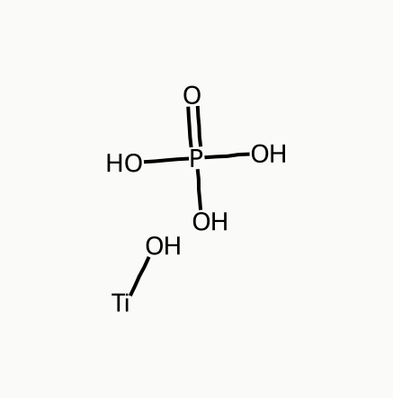 O=P(O)(O)O.[OH][Ti]